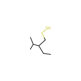 CCC(CSS)C(C)C